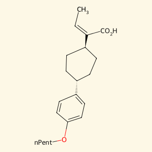 CC=C(C(=O)O)[C@H]1CC[C@H](c2ccc(OCCCCC)cc2)CC1